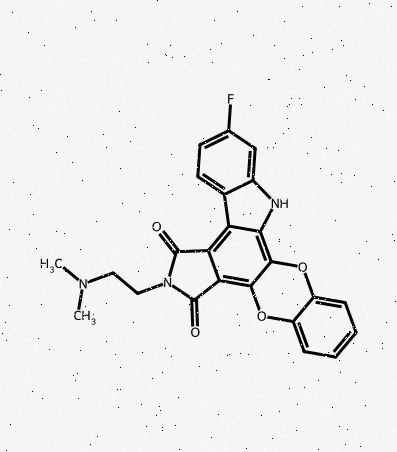 CN(C)CCn1c(=O)c2c3oc4ccccc4oc3c3[nH]c4cc(F)ccc4c3c2c1=O